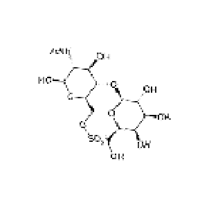 CC(=O)N[C@@H]1[C@@H](O)[C@H](O[C@@H]2O[C@H](CO)[C@H](O)[C@H](O)[C@H]2O)[C@@H](COS(=O)(=O)O)O[C@H]1O